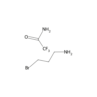 NC(=O)C(F)(F)F.NCCCBr